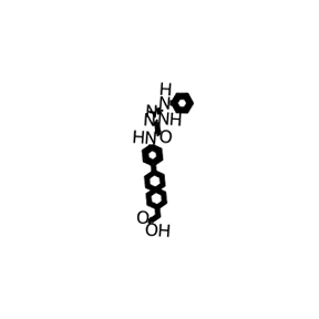 O=C(O)CC1CCC2(CC1)CCC(c1ccc(NC(=O)c3nnc(Nc4ccccc4)[nH]3)cc1)CC2